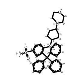 NS(=O)(=O)c1ccc(NC2CCC(N3CCOCC3)CC2)c(C(c2ccccc2)(c2ccccc2)c2ccccc2)c1